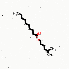 CCCCCCCCCC(=O)OCCCCC(C)C